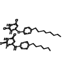 CCCCCCCCc1ccc(Oc2cc(=O)[nH]c(=O)[nH]2)cc1.CCCCCCc1ccc(Nc2cc(=O)[nH]c(=O)n2C)cc1